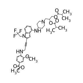 COc1cc(S(C)(=O)=O)ccc1NCC#Cc1cc2c(NC3CCN(CC(COC(=O)C(C)C)OC(=O)C(C)C)CC3)cccc2n1CC(F)(F)F